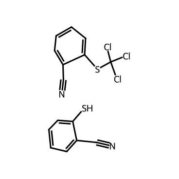 N#Cc1ccccc1S.N#Cc1ccccc1SC(Cl)(Cl)Cl